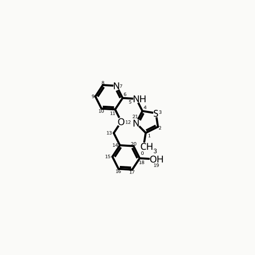 Cc1csc(Nc2ncccc2OCc2cccc(O)c2)n1